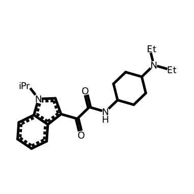 CCN(CC)C1CCC(NC(=O)C(=O)c2cn(C(C)C)c3ccccc23)CC1